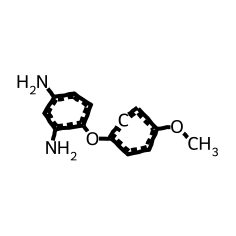 COc1ccc(Oc2ccc(N)cc2N)cc1